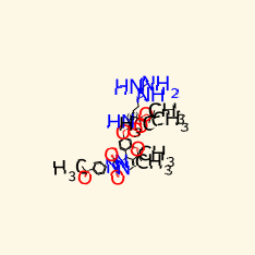 CC(=O)c1ccc(-n2c(=O)n3n(c2=O)C2C(=CC3)C(C)(C)Oc3cc(OC(=O)N[C@@H](CCCNC(=N)N)C(=O)OC(C)(C)C)ccc32)cc1